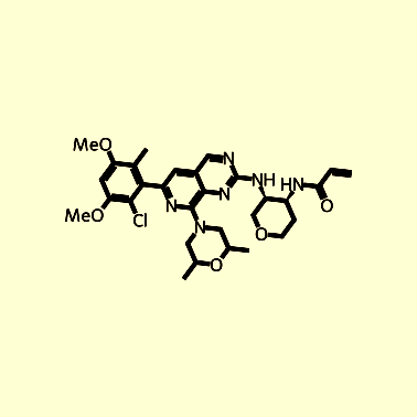 C=CC(=O)N[C@H]1CCOC[C@H]1Nc1ncc2cc(-c3c(C)c(OC)cc(OC)c3Cl)nc(N3CC(C)OC(C)C3)c2n1